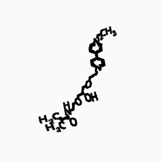 C=C(C)C(=O)NCCOCC(O)COCC[n+]1ccc(-c2cc[n+](CC)cc2)cc1